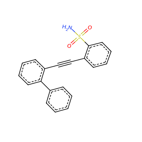 NS(=O)(=O)c1ccccc1C#Cc1ccccc1-c1ccccc1